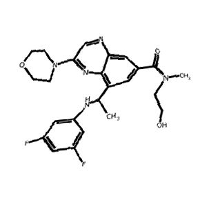 CC(Nc1cc(F)cc(F)c1)c1cc(C(=O)N(C)CCO)cc2ncc(N3CCOCC3)nc12